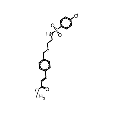 COC(=O)C=Cc1ccc(CSCCNS(=O)(=O)c2ccc(Cl)cc2)cc1